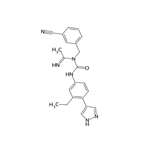 CCc1cc(NC(=O)N(Cc2cccc(C#N)c2)C(C)=N)ccc1-c1cn[nH]c1